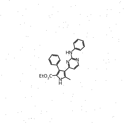 CCOC(=O)c1[nH]c(C)c(-c2ccnc(Nc3ccccc3)n2)c1-c1ccccc1